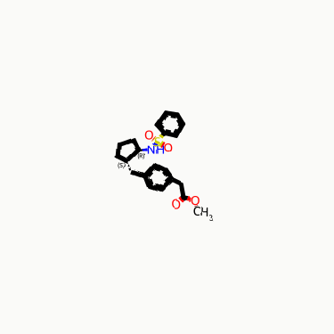 COC(=O)Cc1ccc(C[C@@H]2CCC[C@H]2NS(=O)(=O)c2ccccc2)cc1